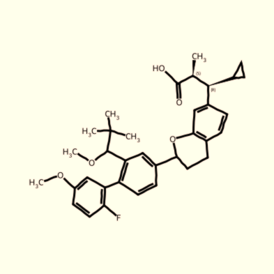 COc1ccc(F)c(-c2ccc(C3CCc4ccc([C@H](C5CC5)[C@H](C)C(=O)O)cc4O3)cc2C(OC)C(C)(C)C)c1